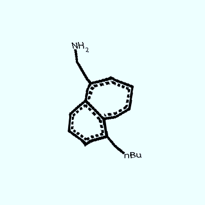 CCCCc1cccc2c(CN)cccc12